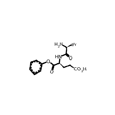 CC(C)[C@H](N)C(=O)N[C@@H](CCC(=O)O)C(=O)Oc1ccccc1